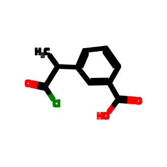 CC(C(=O)Cl)c1cccc(C(=O)O)c1